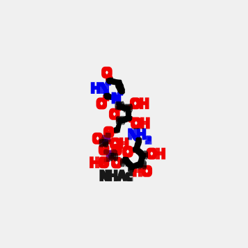 CC(=O)NC1[C@@H](O[P@@](=O)(O)O[P@@](=O)(O)OC[C@H]2O[C@@H](n3ccc(=O)[nH]c3=O)[C@@H](O)C2O)OC(CN)[C@@H](O)[C@@H]1O